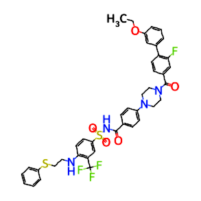 CCOc1cccc(-c2ccc(C(=O)N3CCN(c4ccc(C(=O)NS(=O)(=O)c5ccc(NCCSc6ccccc6)c(C(F)(F)F)c5)cc4)CC3)cc2F)c1